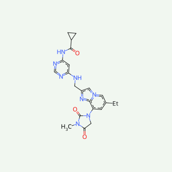 CCc1cc(N2CC(=O)N(C)C2=O)c2nc(CNc3cc(NC(=O)C4CC4)ncn3)cn2c1